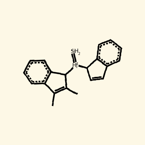 CC1=C(C)[CH]([Hf](=[SiH2])[CH]2C=Cc3ccccc32)c2ccccc21